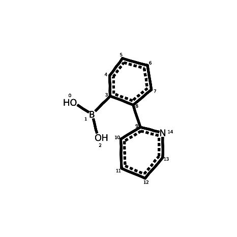 OB(O)c1ccccc1-c1ccccn1